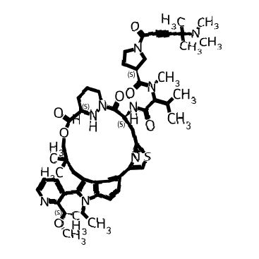 CCn1c(-c2cccnc2[C@H](C)OC)c2c3cc(ccc31)-c1csc(n1)C[C@H](NC(=O)C(C(C)C)N(C)C(=O)[C@H]1CCN(C(=O)C#CC(C)(C)N(C)C)C1)C(=O)N1CCC[C@H](N1)C(=O)OCC(C)(C)C2